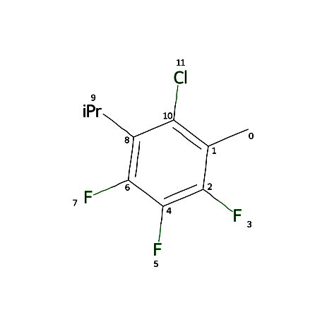 Cc1c(F)c(F)c(F)c(C(C)C)c1Cl